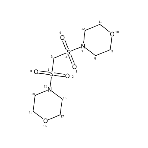 O=S(=O)(CS(=O)(=O)N1CCOCC1)N1CCOCC1